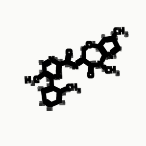 Cc1cnc2c(c1)OC/C(=N\C(=O)c1ncc(C)c(-c3ccccc3C)n1)C(=O)N2C